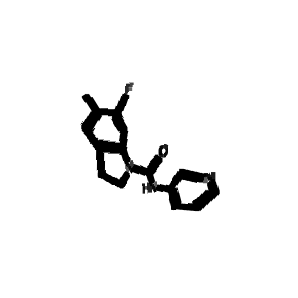 Cc1cc2c(cc1F)N(C(=O)Nc1cccnc1)CC2